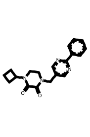 O=C1C(=O)N(C2CCC2)CCN1Cc1cnc(-c2ccccc2)nc1